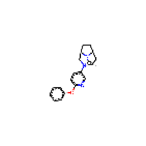 CN1C2CCC1CN(c1ccc(Oc3ccccc3)nc1)CC2